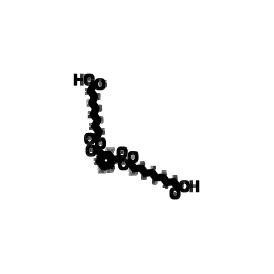 O=C(O)CCCCCCCCC(=O)OC(=O)c1cccc(C(=O)OC(=O)CCCCCCCCC(=O)O)c1